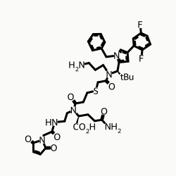 CC(C)(C)[C@H](c1cc(-c2cc(F)ccc2F)cn1Cc1ccccc1)N(CCCN)C(=O)CSCCC(=O)N(CCNC(=O)CN1C(=O)C=CC1=O)[C@@H](CCC(N)=O)C(=O)O